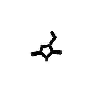 CCn1oc(=O)[nH]c1=O